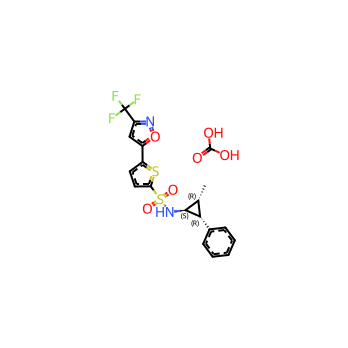 C[C@H]1[C@H](NS(=O)(=O)c2ccc(-c3cc(C(F)(F)F)no3)s2)[C@H]1c1ccccc1.O=C(O)O